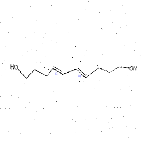 OCCC/C=C/C=C/CCCO